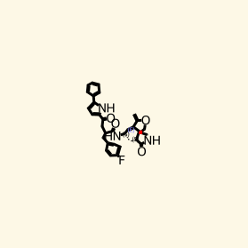 C=C1OCC/C1=C\[C@H](C[C@@H]1CCNC1=O)NC(=O)C(CC(=O)c1ccc(-c2ccccc2)[nH]1)Cc1ccc(F)cc1